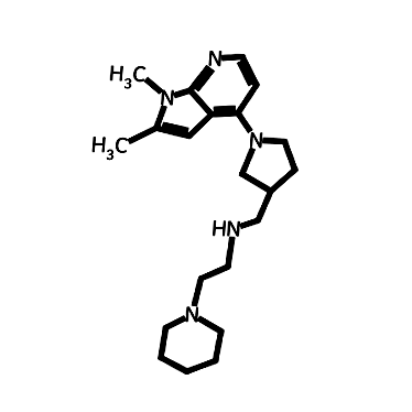 Cc1cc2c(N3CCC(CNCCN4CCCCC4)C3)ccnc2n1C